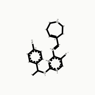 CC(Oc1ncc(F)c(/N=C/C2=CCCOCC2)n1)c1ccc(F)cc1